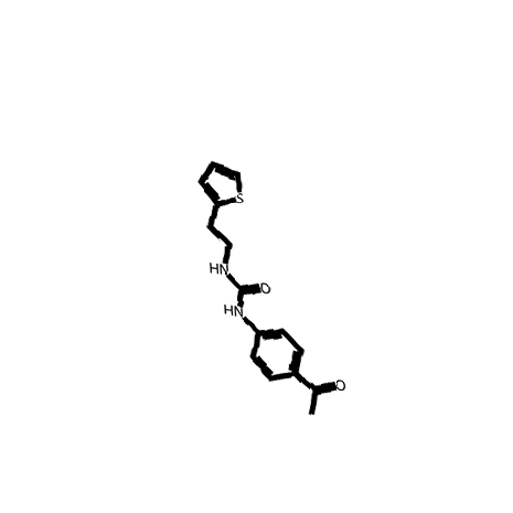 CC(=O)c1ccc(NC(=O)NCCc2cccs2)cc1